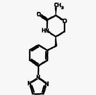 C[C@H]1OC[C@@H](Cc2cccc(-n3nccn3)c2)NC1=O